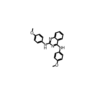 COc1ccc(Nc2nc(Nc3ccc(OC)cc3)c3ccccc3n2)cc1